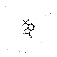 CS(=O)(=O)c1cccc2c1CNC2=O